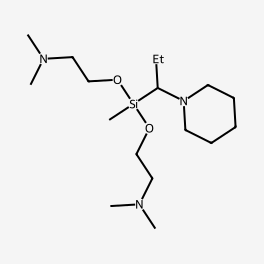 CCC(N1CCCCC1)[Si](C)(OCCN(C)C)OCCN(C)C